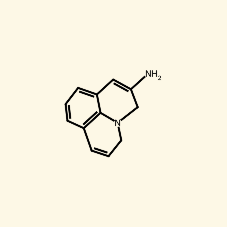 NC1=Cc2cccc3c2N(CC=C3)C1